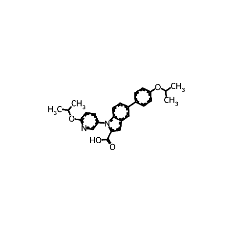 CC(C)Oc1ccc(-c2ccc3c(c2)cc(C(=O)O)n3-c2ccc(OC(C)C)nc2)cc1